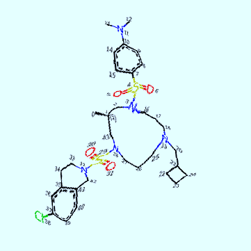 C[C@H]1CN(S(=O)(=O)c2ccc(N(C)C)cc2)CCCN(CC2CCC2)CCCN(S(=O)(=O)N2CCc3cc(Cl)ccc3C2)C1